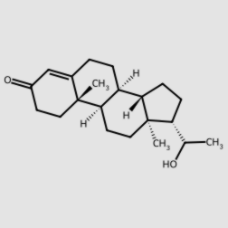 CC(O)[C@H]1CC[C@H]2[C@@H]3CCC4=CC(=O)CC[C@@]4(C)[C@@H]3CC[C@]12C